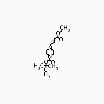 CCOC(=O)/C=C/CN1CCN(C(=O)OC(C)(C)C)CC1